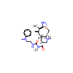 C=C1C[C@H]2C[C@@H](C(=O)N(CC)C(=O)NCCN(C)c3ccccc3)CN(C)[C@@H]2CCS/C(N)=C\1C#N